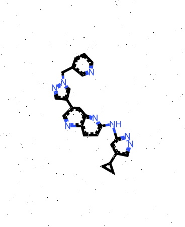 c1cncc(Cn2cc(-c3cnc4ccc(Nc5cc(C6CC6)cnn5)nc4c3)cn2)c1